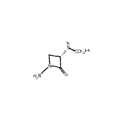 NN1C[C@H](NC(=O)O)C1=O